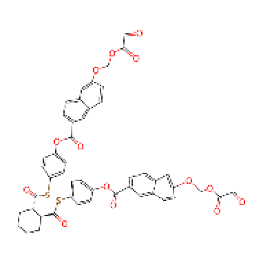 O=CC(=O)OCOc1ccc2cc(C(=O)Oc3ccc(SC(=O)[C@H]4CCCC[C@@H]4C(=O)Sc4ccc(OC(=O)c5ccc6cc(OCOC(=O)C=O)ccc6c5)cc4)cc3)ccc2c1